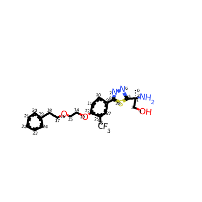 C[C@](N)(CO)c1nnc(-c2ccc(OCCOCCc3ccccc3)c(C(F)(F)F)c2)s1